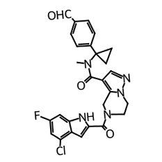 CN(C(=O)c1cnn2c1CN(C(=O)c1cc3c(Cl)cc(F)cc3[nH]1)CC2)C1(c2ccc(C=O)cc2)CC1